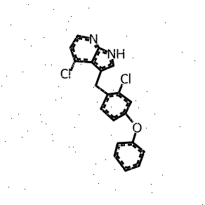 Clc1cc(Oc2ccccc2)ccc1Cc1c[nH]c2nccc(Cl)c12